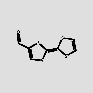 O=CC1=CSC(=C2SC=CS2)S1